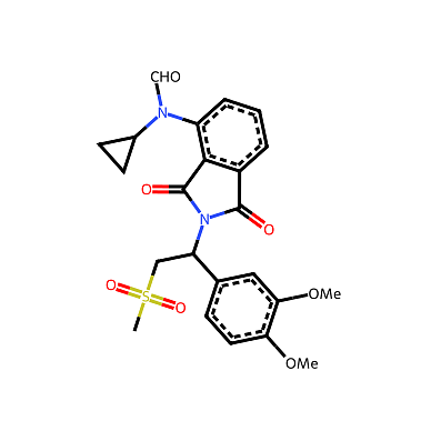 COc1ccc(C(CS(C)(=O)=O)N2C(=O)c3cccc(N(C=O)C4CC4)c3C2=O)cc1OC